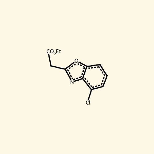 CCOC(=O)Cc1nc2c(Cl)cccc2o1